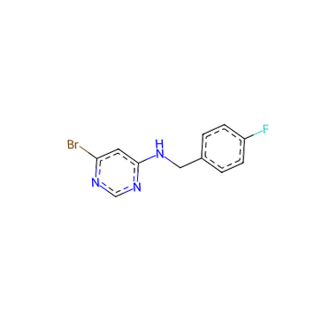 Fc1ccc(CNc2cc(Br)ncn2)cc1